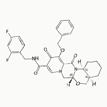 O=C(NCc1ccc(F)cc1F)c1cn2c(c(OCc3ccccc3)c1=O)C(=O)N1[C@@H](C2)OC[C@@H]2CCCC[C@@H]21